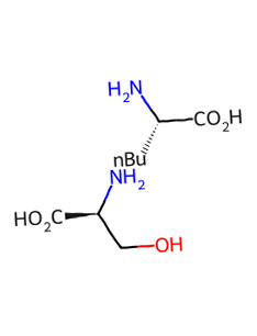 CCCC[C@H](N)C(=O)O.N[C@@H](CO)C(=O)O